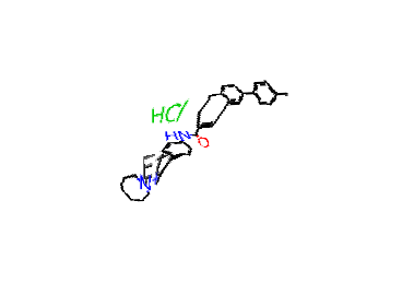 CC[N+]1(Cc2ccc(NC(=O)C3=Cc4cc(-c5ccc(C)cc5)ccc4CC3)cc2)CCCCCC1.Cl